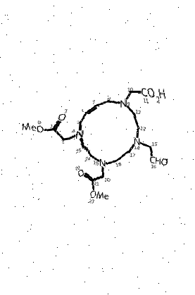 COC(=O)CN1CC=CCN(CC(=O)O)CCN(CC=O)CCN(CC(=O)OC)CC1